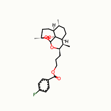 C[C@H]1[C@@H](CCCOC(=O)c2ccc(F)cc2)OC2O[C@]3(C)CC[C@H]4[C@H](C)CC[C@@H]1[C@@]24OO3